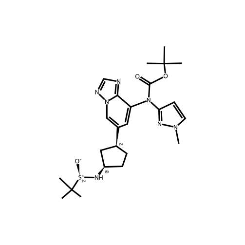 Cn1ccc(N(C(=O)OC(C)(C)C)c2cc([C@H]3CC[C@@H](N[S@+]([O-])C(C)(C)C)C3)cn3ncnc23)n1